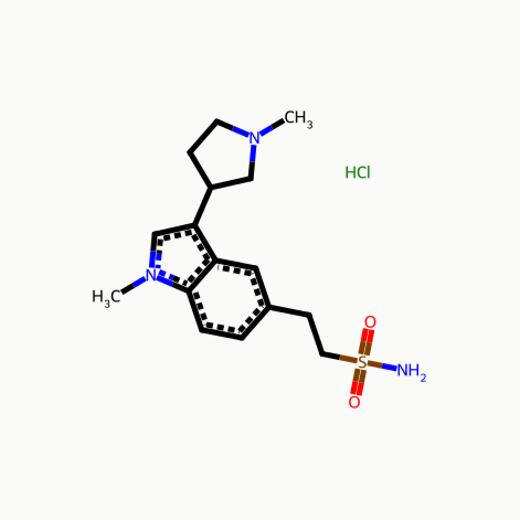 CN1CCC(c2cn(C)c3ccc(CCS(N)(=O)=O)cc23)C1.Cl